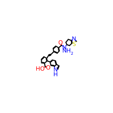 NN(C(=O)c1ccc(C#Cc2cccc(C(=O)O)c2-c2ccc3cc[nH]c3c2)cc1)C1CCc2ncsc2C1